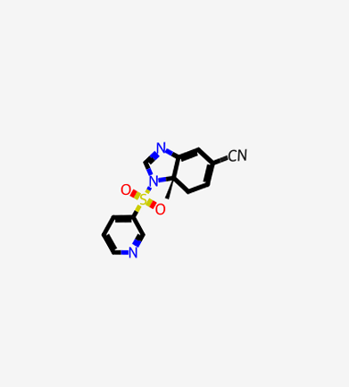 C[C@]12CC=C(C#N)C=C1N=CN2S(=O)(=O)c1cccnc1